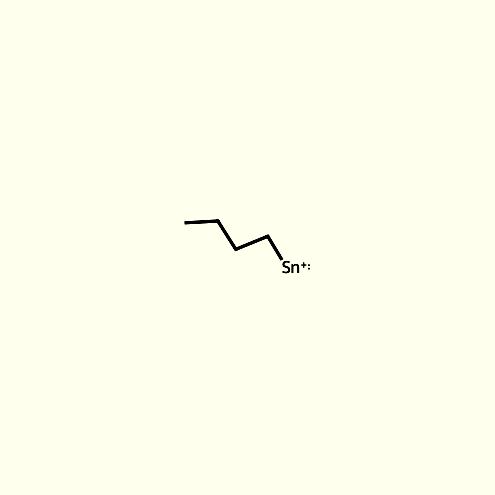 CCC[CH2][Sn+]